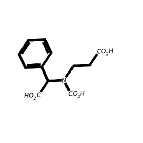 O=C(O)CCN(C(=O)O)C(C(=O)O)c1ccccc1